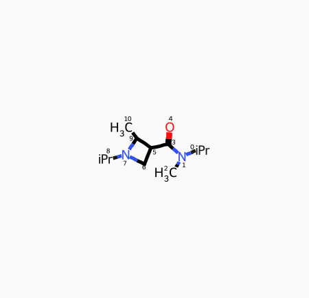 CC(C)N(C)C(=O)C1CN(C(C)C)C1C